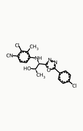 [C-]#[N+]c1ccc(N[C@@H](c2nnc(-c3ccc(Cl)cc3)o2)[C@@H](C)O)c(C)c1Cl